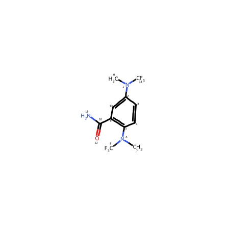 CN(c1ccc(N(C)C(F)(F)F)c(C(N)=O)c1)C(F)(F)F